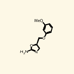 COc1cccc(OCC2CN=C(N)O2)c1